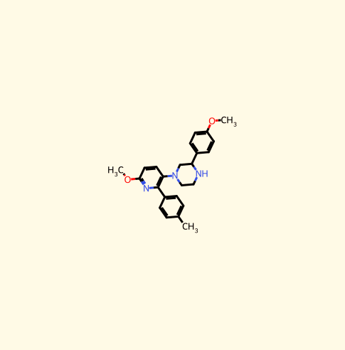 COc1ccc(C2CN(c3ccc(OC)nc3-c3ccc(C)cc3)CCN2)cc1